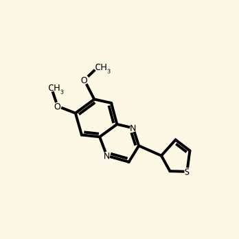 COc1cc2ncc(C3C=CSC3)nc2cc1OC